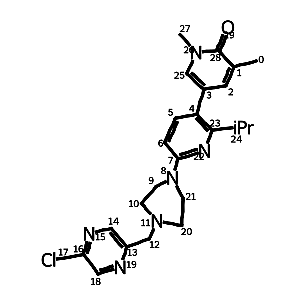 Cc1cc(-c2ccc(N3CCN(Cc4cnc(Cl)cn4)CC3)nc2C(C)C)cn(C)c1=O